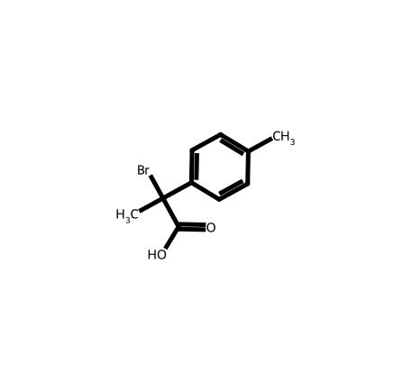 Cc1ccc(C(C)(Br)C(=O)O)cc1